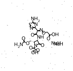 NC(=O)OC[C@@H]1[C@H](NC(=O)/C(=N\OCC(=O)O)c2nsc(N)n2)C(=O)N1S(=O)(=O)O.[NaH].[NaH]